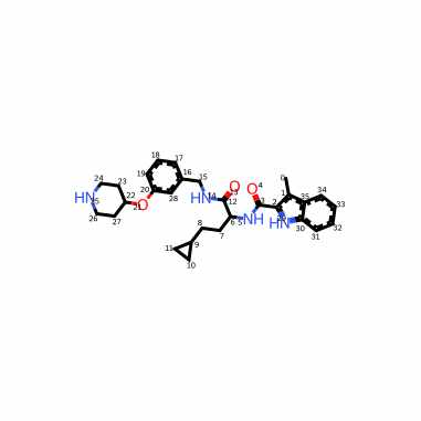 Cc1c(C(=O)NC(CCC2CC2)C(=O)NCc2cccc(OC3CCNCC3)c2)[nH]c2ccccc12